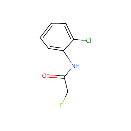 O=C(CF)Nc1ccccc1Cl